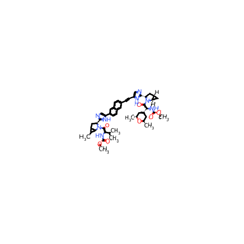 COC(=O)NC(C(=O)N1C2C(C)C2C[C@H]1c1ncc(-c2ccc3cc(C#Cc4cnc([C@@H]5C[C@H]6C[C@H]6N5C(=O)C(NC(=O)OC)[C@H]5C[C@@H](C)O[C@@H](C)C5)[nH]4)ccc3c2)[nH]1)C(C)C